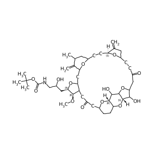 C=C1C(C)CC2CC[C@@H]3OC(CCC(=O)CC4OC5C(O)[C@H]6OC(CCC6O[C@H]5C4O)CC(=O)CC4C(CC1O2)O[C@H](CC(O)CNC(=O)OC(C)(C)C)[C@@H]4OC)CC3=C